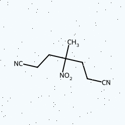 CC(CCC#N)(CCC#N)[N+](=O)[O-]